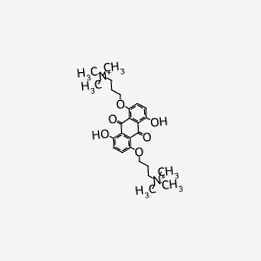 C[N+](C)(C)CCCOc1ccc(O)c2c1C(=O)c1c(O)ccc(OCCC[N+](C)(C)C)c1C2=O